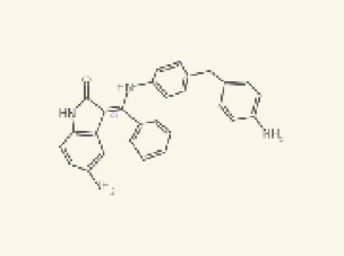 Nc1ccc(Cc2ccc(N/C(=C3\C(=O)Nc4ccc(N)cc43)c3ccccc3)cc2)cc1